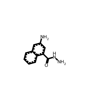 NNC(=O)c1cc(N)cc2ccccc12